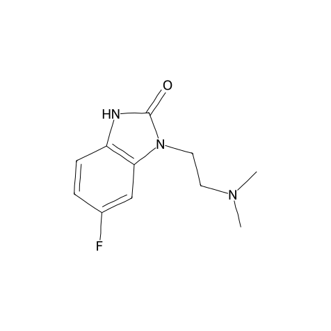 CN(C)CCn1c(=O)[nH]c2ccc(F)cc21